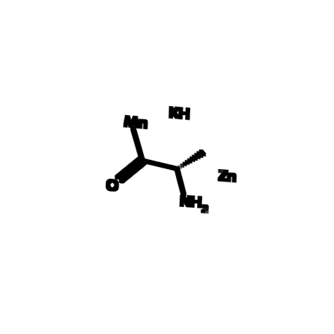 C[C@H](N)[C](=O)[Mn].[KH].[Zn]